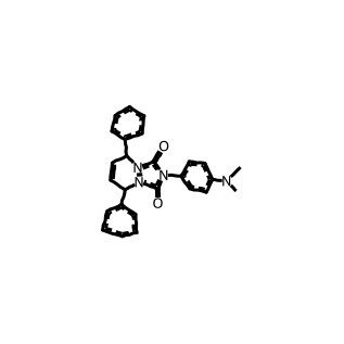 CN(C)c1ccc(-n2c(=O)n3n(c2=O)C(c2ccccc2)C=CC3c2ccccc2)cc1